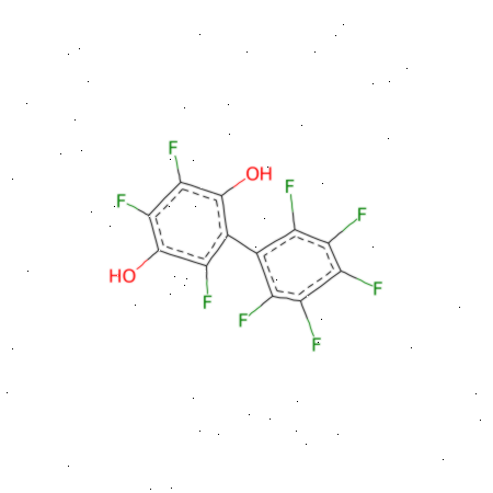 Oc1c(F)c(F)c(O)c(-c2c(F)c(F)c(F)c(F)c2F)c1F